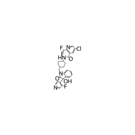 O=C(NC1CCC(CN2C(=O)C(O)(c3ccncc3F)c3ccccc32)CC1)c1cc(Cl)cnc1C(F)F